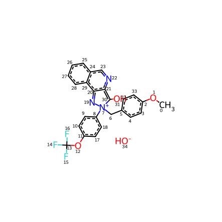 COc1ccc(C[N+]2(c3ccc(OC(F)(F)F)cc3)N=c3c(ncc4ccccc34)=C2O)cc1.[OH-]